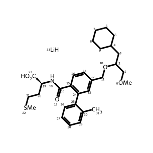 COCC(CC1CCCCC1)OCc1ccc(C(=O)N[C@@H](CCSC)C(=O)O)c(-c2ccccc2C)c1.[LiH]